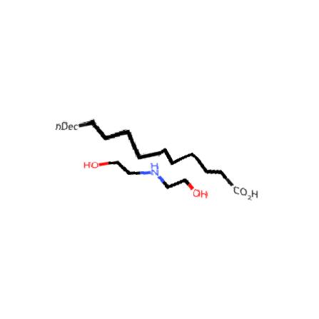 CCCCCCCCCCCCCCCCCCCC(=O)O.OCCNCCO